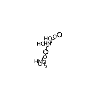 CNC(=O)COc1ccc(CCNCC(O)COc2ccccc2)cc1.Cl